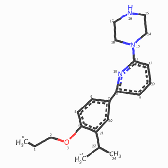 CCCOc1ccc(-c2cccc(N3CCNCC3)n2)cc1C(C)C